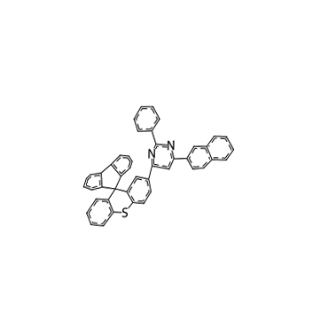 c1ccc(-c2nc(-c3ccc4c(c3)C3(c5ccccc5S4)c4ccccc4-c4ccccc43)cc(-c3ccc4ccccc4c3)n2)cc1